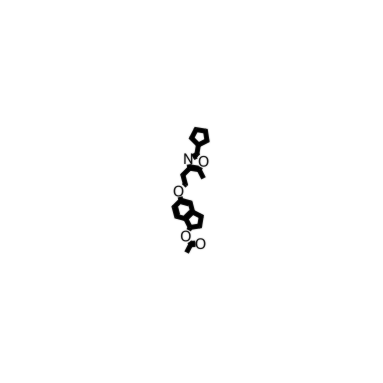 CC(=O)OC1CCc2cc(OCCc3nc(C4CCCC4)oc3C)ccc21